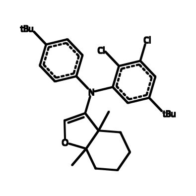 CC(C)(C)c1ccc(N(C2=COC3(C)CCCCC23C)c2cc(C(C)(C)C)cc(Cl)c2Cl)cc1